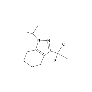 CC(C)n1nc(C(C)(F)Cl)c2c1CCCC2